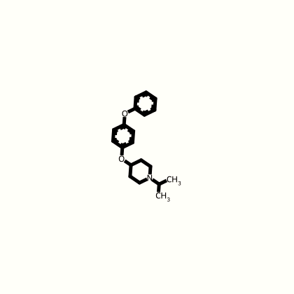 CC(C)N1CCC(Oc2ccc(Oc3ccccc3)cc2)CC1